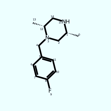 C[C@@H]1CN(Cc2ccc(F)cc2)[C@H](C)CN1